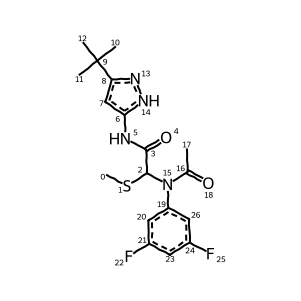 CSC(C(=O)Nc1cc(C(C)(C)C)n[nH]1)N(C(C)=O)c1cc(F)cc(F)c1